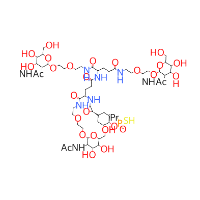 CC(=O)NC1C(OCCOCCNC(=O)CCC(NC(=O)CCC(NC2O[C@@H]2C2CCC(OP(=O)(S)C(C)C)CC2)C(=O)NCCOCCOC2OC(CO)C(O)C(O)C2NC(C)=O)C(=O)NCCOCCOC2OC(CO)C(O)C(O)C2NC(C)=O)OC(CO)C(O)C1O